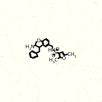 Cc1cc(S(=O)(=O)NCc2ccc3c(c2)C(Cc2ccccc2)C(N)CO3)c(C)o1